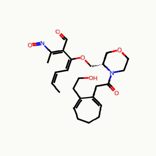 C\C=C/C=C(OC[C@@H]1COCCN1C(=O)CC1=CCCCC=C1CCO)\C(C=O)=C(/C)N=O